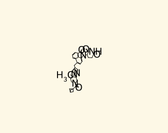 CC1(n2cc(Cc3ccc4c5c(cccc35)C(=O)N4C3CCC(=O)NC3=O)cn2)CCN(C(=O)C23CC(C2)C3)CC1